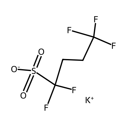 O=S(=O)([O-])C(F)(F)CCC(F)(F)F.[K+]